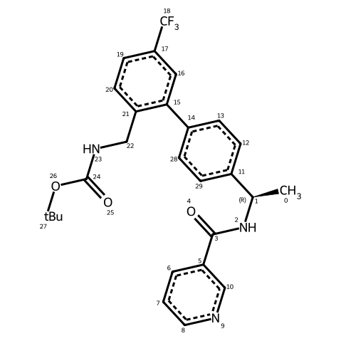 C[C@@H](NC(=O)c1cccnc1)c1ccc(-c2cc(C(F)(F)F)ccc2CNC(=O)OC(C)(C)C)cc1